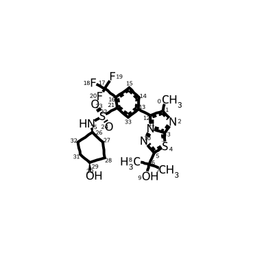 Cc1nc2sc(C(C)(C)O)nn2c1-c1ccc(C(F)(F)F)c(S(=O)(=O)N[C@H]2CC[C@@H](O)CC2)c1